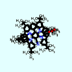 CC(C)(C)c1ccc2c(c1)c1cc(C(C)(C)C)ccc1n2-c1c(C#N)c(-n2c3ccc(C(C)(C)C)cc3c3cc(C(C)(C)C)ccc32)c(-n2c3ccc(C(C)(C)C)cc3c3cc(C(C)(C)C)ccc32)c(-c2ccccc2)c1-n1c2ccc(C(C)(C)C)cc2c2cc(C(C)(C)C)ccc21